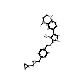 CN1CCOc2ccc(-c3csc(OCc4ccc(CNCC5CC5)cc4)c3C#N)cc21